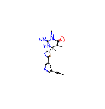 CC#Cc1cncc(-c2ncc([C@@]3(C)NC(=N)N(C)C(=O)C3C)s2)c1